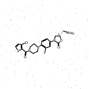 CC(=O)NC[C@H]1CN(c2ccc(N3CCN(C(=O)c4sccc4Cl)CC3)c(F)c2)C(=O)O1